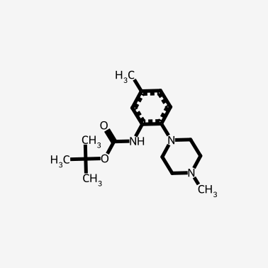 Cc1ccc(N2CCN(C)CC2)c(NC(=O)OC(C)(C)C)c1